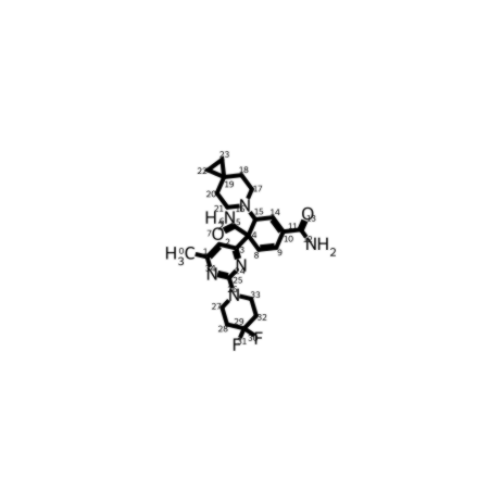 Cc1cc(C2(C(N)=O)C=CC(C(N)=O)=CC2N2CCC3(CC2)CC3)nc(N2CCC(F)(F)CC2)n1